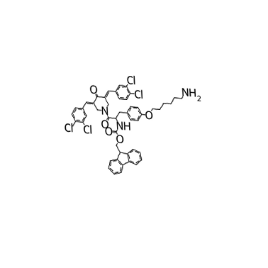 NCCCCCCOc1ccc(CC(NC(=O)OCC2c3ccccc3-c3ccccc32)C(=O)N2C/C(=C\c3ccc(Cl)c(Cl)c3)C(=O)/C(=C/c3ccc(Cl)c(Cl)c3)C2)cc1